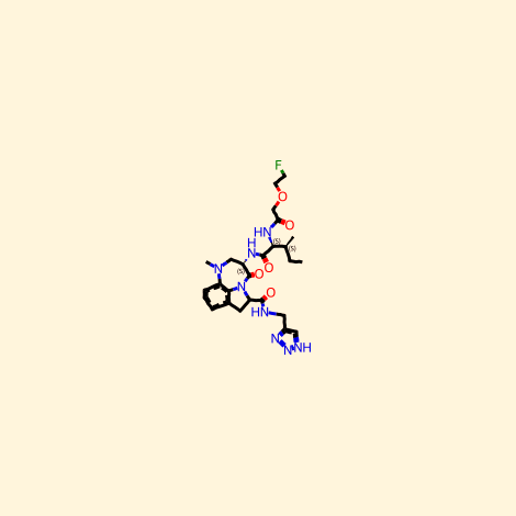 CC[C@H](C)[C@H](NC(=O)COCCF)C(=O)N[C@H]1CN(C)c2cccc3c2N(C1=O)C(C(=O)NCc1c[nH]nn1)C3